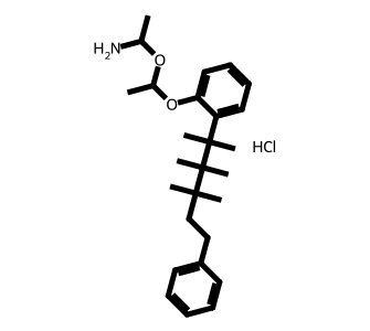 CC(N)OC(C)Oc1ccccc1C(C)(C)C(C)(C)C(C)(C)CCc1ccccc1.Cl